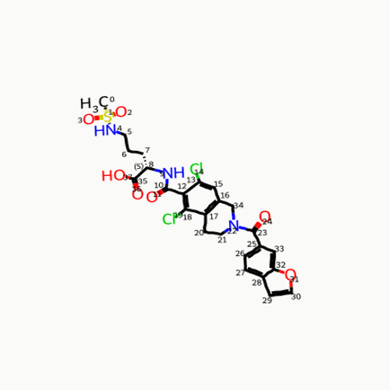 CS(=O)(=O)NCCC[C@H](NC(=O)c1c(Cl)cc2c(c1Cl)CCN(C(=O)c1ccc3ccoc3c1)C2)C(=O)O